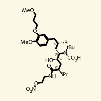 COCCCOc1cc(C[C@@H](C[C@@H]([C@@H](O)C[C@H](C(=O)NCCO[N+](=O)[O-])C(C)C)N(C(=O)O)C(C)(C)C)C(C)C)ccc1OC